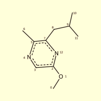 COc1cnc(C)c(CC(C)C)n1